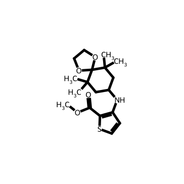 COC(=O)c1sccc1NC1CC(C)(C)C2(OCCO2)C(C)(C)C1